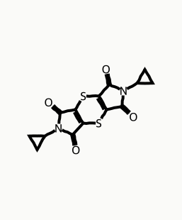 O=c1c2sc3c(=O)n(C4CC4)c(=O)c3sc2c(=O)n1C1CC1